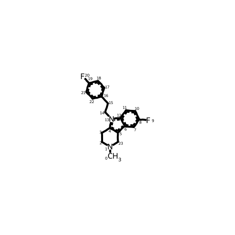 CN1CCc2c(c3cc(F)ccc3n2CCc2ccc(F)cc2)C1